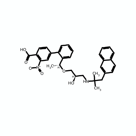 C[C@@H](OC[C@H](O)CNC(C)(C)Cc1ccc2ccccc2c1)c1ccccc1-c1ccc(C(=O)O)c([N+](=O)[O-])c1